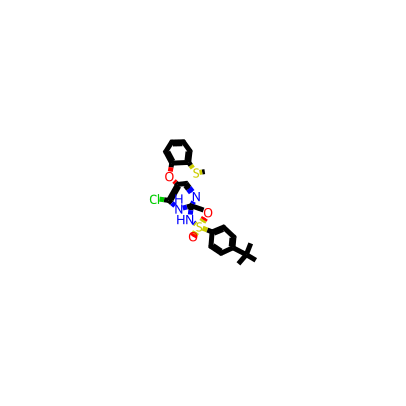 CSc1ccccc1OC1=C(Cl)NC(C)(NS(=O)(=O)c2ccc(C(C)(C)C)cc2)N=C1